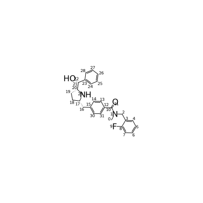 CN(Cc1ccccc1F)C(=O)c1ccc(C[C@@H]2CC[C@H]([C@H](O)c3ccccc3)N2)cc1